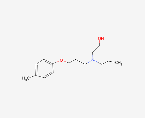 CCCN(CCO)CCCOc1ccc(C)cc1